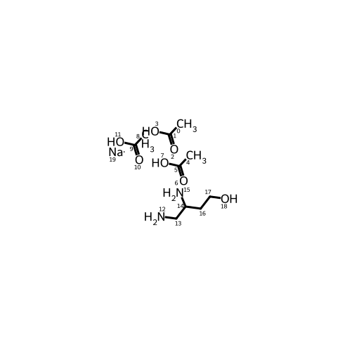 CC(=O)O.CC(=O)O.CC(=O)O.NCC(N)CCO.[Na]